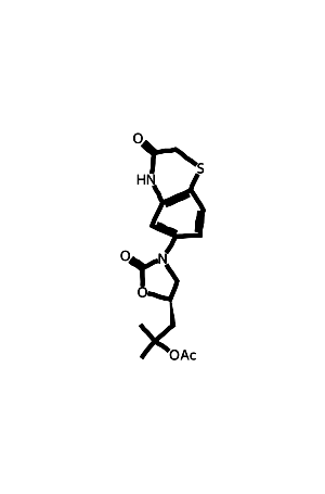 CC(=O)OC(C)(C)C[C@@H]1CN(c2ccc3c(c2)NC(=O)CS3)C(=O)O1